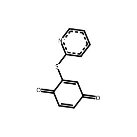 O=C1C=CC(=O)C(Sc2ccccn2)=C1